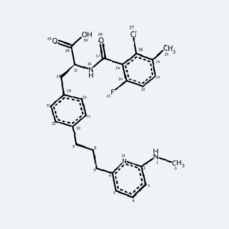 CNc1cccc(CCCc2ccc(C[C@H](NC(=O)c3c(F)ccc(C)c3Cl)C(=O)O)cc2)n1